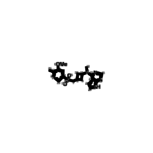 COc1cc(S(=O)(=O)CC2CC(N(C)c3ncnc4[nH]ccc34)C2)cnc1C